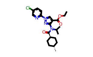 CCOC(=O)c1cn(-c2ccc(Cl)cn2)nc1N(C(=O)[C@H]1CC[C@H](C)CC1)C(C)C